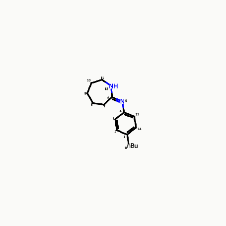 CCCCc1ccc(/N=C2\CCCCCN2)cc1